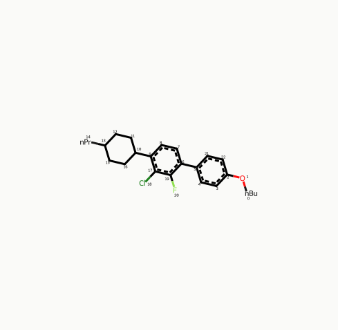 CCCCOc1ccc(-c2ccc(C3CCC(CCC)CC3)c(Cl)c2F)cc1